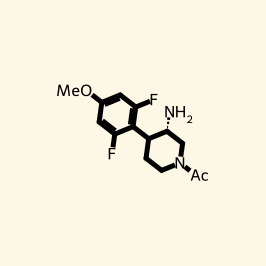 COc1cc(F)c(C2CCN(C(C)=O)C[C@H]2N)c(F)c1